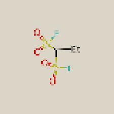 CCC(S(=O)(=O)F)S(=O)(=O)F